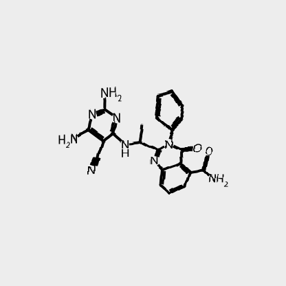 CC(Nc1nc(N)nc(N)c1C#N)c1nc2cccc(C(N)=O)c2c(=O)n1-c1ccccc1